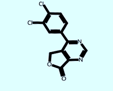 O=C1OCc2c1ncnc2-c1ccc(Cl)c(Cl)c1